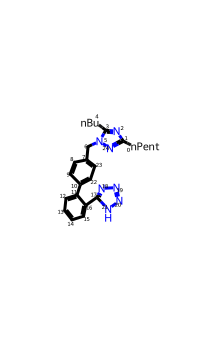 CCCCCc1nc(CCCC)n(Cc2ccc(-c3ccccc3-c3nnn[nH]3)cc2)n1